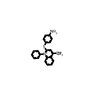 Cc1cc(Sc2ccc(N)cc2)[n+](-c2ccccc2)c2ccccc12.[Cl-]